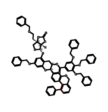 O=C1O[C@H]2[C@H](Oc3cc(OCc4ccccc4)cc4c3C[C@@H](OC(=O)c3cc(OCc5ccccc5)c(OCc5ccccc5)c(OCc5ccccc5)c3)[C@@H](c3ccc(OCc5ccccc5)c(OCc5ccccc5)c3)O4)OC[C@@]2(CCOCc2ccccc2)O1